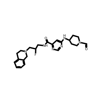 O=CN1CCC(Nc2cc(C(=O)NCC(F)CN3CCc4ccccc4C3)ncn2)CC1